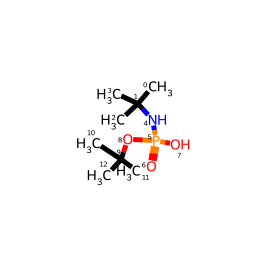 CC(C)(C)NP(=O)(O)OC(C)(C)C